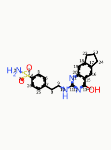 NS(=O)(=O)c1ccc(CCNc2nc(O)c3cc4c(cc3n2)CCC4)cc1